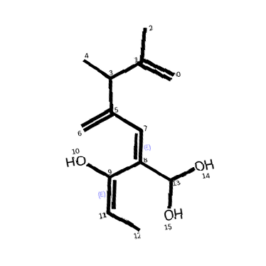 C=C(C)C(C)C(=C)/C=C(\C(O)=C/C)C(O)O